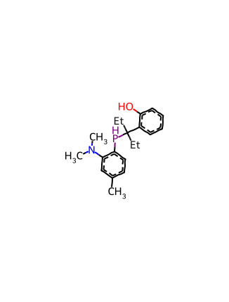 CCC(CC)(Pc1ccc(C)cc1N(C)C)c1ccccc1O